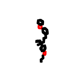 C=CC(C)(CCCc1cccc(Oc2ccccc2)c1)c1ccc(OCCCC)cc1